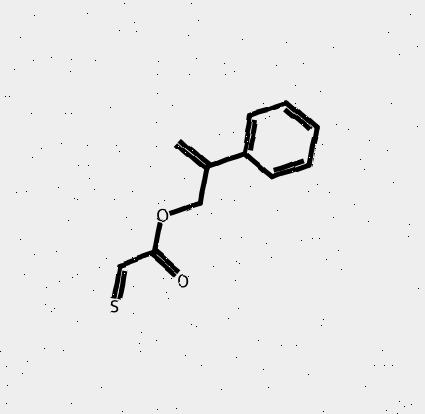 C=C(COC(=O)C=S)c1ccccc1